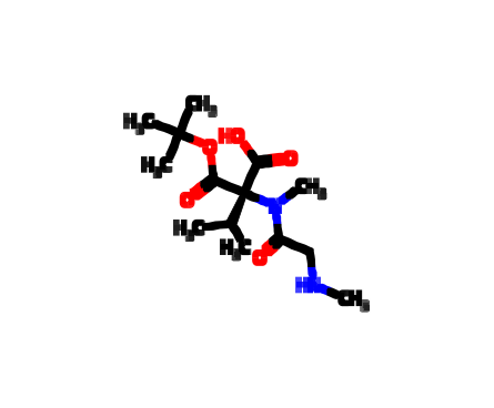 CNCC(=O)N(C)[C@@](C(=O)O)(C(=O)OC(C)(C)C)C(C)C